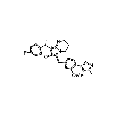 COc1cc(/C=c2/c(=O)n(C(C)c3ccc(F)cc3)c3n2CCCN=3)ccc1-n1cnc(C)c1